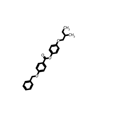 CCC(C)COc1ccc(OC(=O)c2ccc(OCc3ccccc3)cc2)cc1